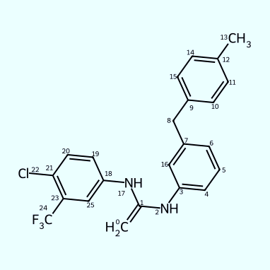 C=C(Nc1cccc(Cc2ccc(C)cc2)c1)Nc1ccc(Cl)c(C(F)(F)F)c1